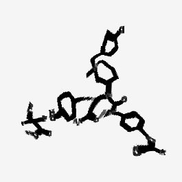 CC(C)C(=O)Oc1ccc(NC(=O)/[N+](=C2\CCC[N+](C)(Cc3ccc(Cl)cc3)C2)[C@@H](Cc2ccc(O)cc2)C(N)=O)cc1.O=C(O)C(F)(F)F